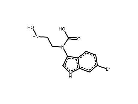 O=C(O)N(CCNO)c1c[nH]c2cc(Br)ccc12